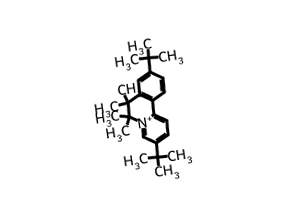 CC(C)(C)c1ccc2c(c1)C(C)(C)C(C)(C)[n+]1cc(C(C)(C)C)ccc1-2